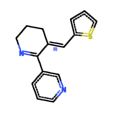 C(=C1/CCCN=C1c1cccnc1)/c1cccs1